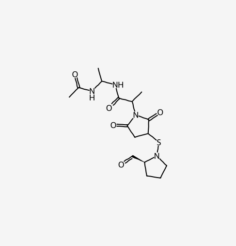 CC(=O)NC(C)NC(=O)C(C)N1C(=O)CC(SN2CCC[C@H]2C=O)C1=O